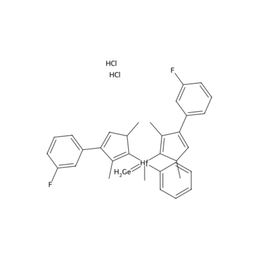 CC1=[C]([Hf]([CH3])(=[GeH2])([C]2=C(C)C(c3cccc(F)c3)=CC2C)[c]2ccccc2)C(C)C=C1c1cccc(F)c1.Cl.Cl